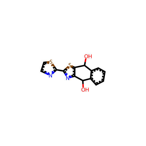 OC1c2ccccc2C(O)c2sc(-c3nccs3)nc21